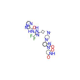 CN(C[C@H]1C[C@H](c2nc(C(F)F)c(NC(=O)c3cnn4cccnc34)[nH]2)C1)C1CCN(c2cccc3c2n(C)c(=O)n3C2CCC(=O)NC2=O)CC1